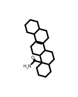 NC(=O)C12CCCCC1CCC1C3=C(CCC12)C1CCCCC1CC3